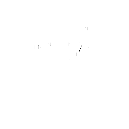 O=C(N[C@@H]1CN2CCC1CC2)c1n[nH]c2ccc(C3CCCC3)cc12